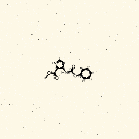 COC(=O)c1sccc1NC(=O)Oc1ccccc1